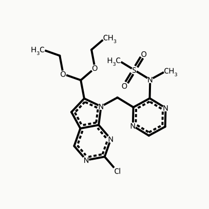 CCOC(OCC)c1cc2cnc(Cl)nc2n1Cc1nccnc1N(C)S(C)(=O)=O